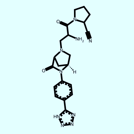 N#CC1CCCN1C(=O)C(N)CN1C[C@@H]2CC1C(=O)N2c1ccc(-c2nnn[nH]2)cc1